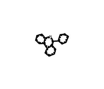 [c]1cccc(-c2nc3ccccc3c3ccccc23)c1